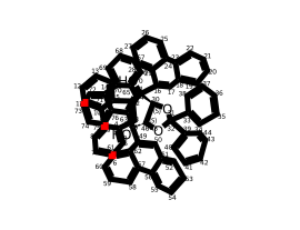 OC(c1cc2ccccc2c2ccccc12)(c1cc2ccccc2c2ccccc12)[C@H]1OC(c2ccccc2)(c2ccccc2)O[C@@H]1C(O)(c1cc2ccccc2c2ccccc12)c1cc2ccccc2c2ccccc12